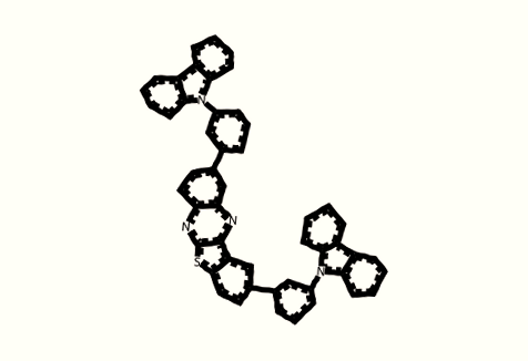 c1cc(-c2ccc3nc4sc5ccc(-c6cccc(-n7c8ccccc8c8ccccc87)c6)cc5c4nc3c2)cc(-n2c3ccccc3c3ccccc32)c1